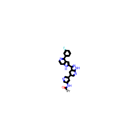 CC(C)C(=O)Nc1cncc(-c2cnc3[nH]nc(-c4cc5c(-c6cccc(F)c6)nccc5[nH]4)c3c2)c1